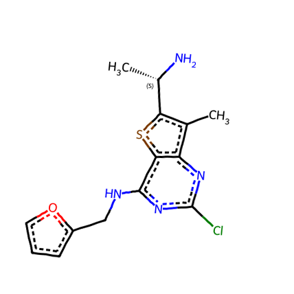 Cc1c([C@H](C)N)sc2c(NCc3ccco3)nc(Cl)nc12